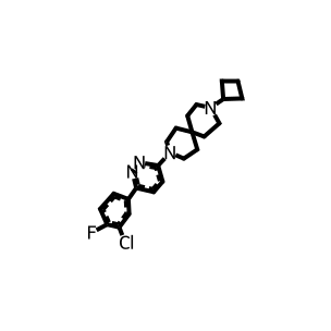 Fc1ccc(-c2ccc(N3CCC4(CC3)CCN(C3CCC3)CC4)nn2)cc1Cl